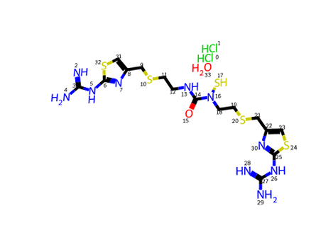 Cl.Cl.N=C(N)Nc1nc(CSCCNC(=O)N(S)CCSCc2csc(NC(=N)N)n2)cs1.O